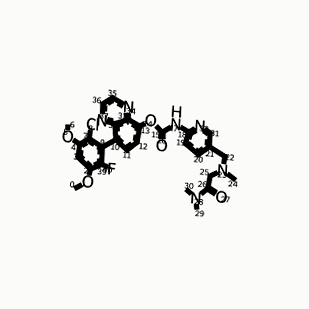 COc1cc(OC)c(Cl)c(-c2ccc(OC(=O)Nc3ccc(CN(C)CC(=O)N(C)C)cn3)c3nccnc23)c1F